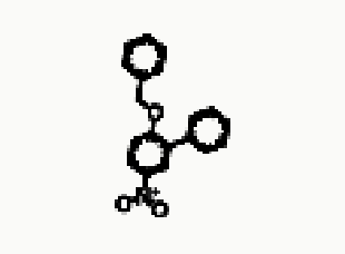 O=[N+]([O-])c1ccc(OCc2ccccc2)c(-c2ccccc2)c1